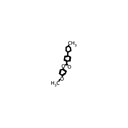 CCOc1ccc(OC(=O)c2ccc(C3CCC(C)CC3)cc2)cc1